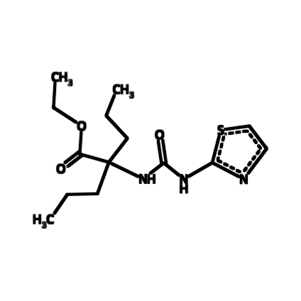 CCCC(CCC)(NC(=O)Nc1nccs1)C(=O)OCC